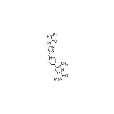 CCNC(=O)Nc1cc(CN2CCC(c3ccc(C(=O)NC)nc3C)CC2)sn1